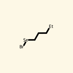 CCCCC[Se]Br